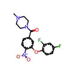 CN1CCN(C(=O)c2ccc([N+](=O)[O-])c(Oc3ccc(F)cc3F)c2)CC1